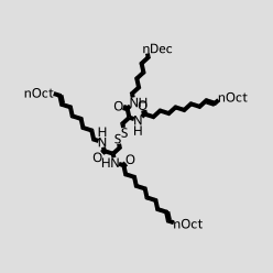 CCCCCCCC/C=C/CCCCCCCC(=O)NC(CSSCC(NC(=O)CCCCCCC/C=C/CCCCCCCC)C(=O)NCCCCCCCCCCCCCCCC)C(=O)NCCCCCC/C=C/CCCCCCCC